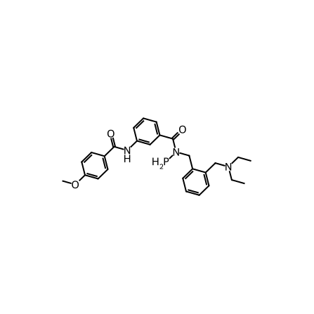 CCN(CC)Cc1ccccc1CN(P)C(=O)c1cccc(NC(=O)c2ccc(OC)cc2)c1